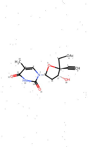 C#C[C@]1(COC(C)=O)O[C@@H](n2cc(C)c(=O)[nH]c2=O)C[C@H]1O